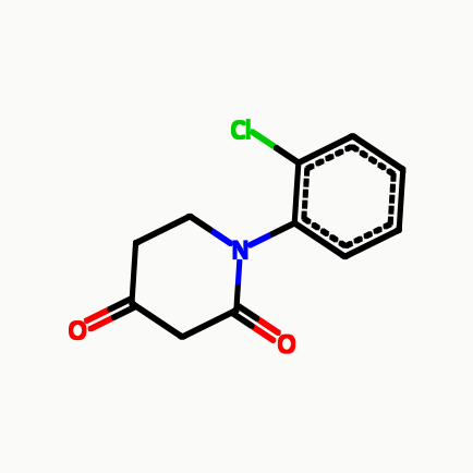 O=C1CCN(c2ccccc2Cl)C(=O)C1